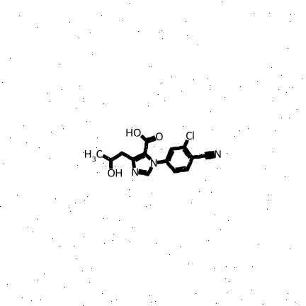 CC(O)Cc1ncn(-c2ccc(C#N)c(Cl)c2)c1C(=O)O